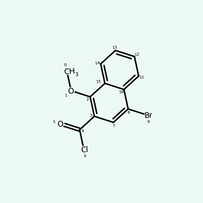 COc1c(C(=O)Cl)cc(Br)c2ccccc12